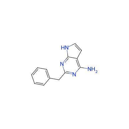 Nc1nc(Cc2ccccc2)nc2[nH]ccc12